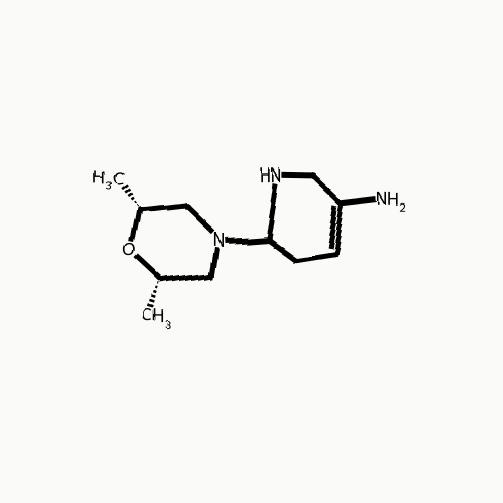 C[C@@H]1CN(C2CC=C(N)CN2)C[C@H](C)O1